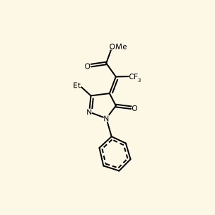 CCC1=NN(c2ccccc2)C(=O)/C1=C(/C(=O)OC)C(F)(F)F